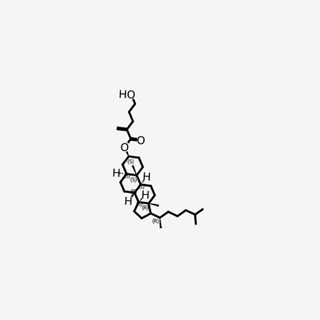 C=C(CCCO)C(=O)O[C@H]1CC[C@@]2(C)[C@@H](CC[C@@H]3[C@@H]2CC[C@]2(C)C([C@H](C)CCCC(C)C)CC[C@@H]32)C1